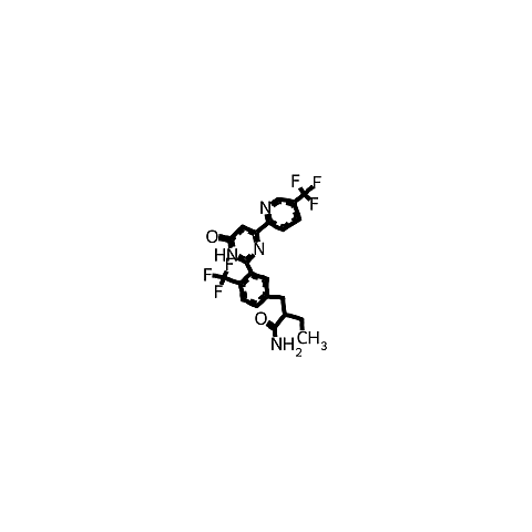 CCC(Cc1ccc(C(F)(F)F)c(-c2nc(-c3ccc(C(F)(F)F)cn3)cc(=O)[nH]2)c1)C(N)=O